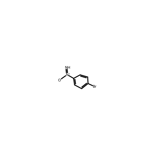 N=[N+]([O-])c1ccc(Br)cc1